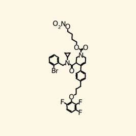 O=C(OCCCCO[N+](=O)[O-])N1CC=C(c2ccc(CCCOc3c(F)ccc(F)c3F)cc2)C(C(=O)N(Cc2ccccc2Br)C2CC2)C1